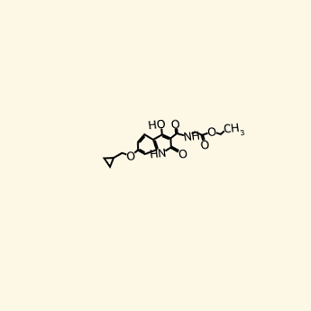 CCOC(=O)CNC(=O)c1c(O)c2ccc(OCC3CC3)cc2[nH]c1=O